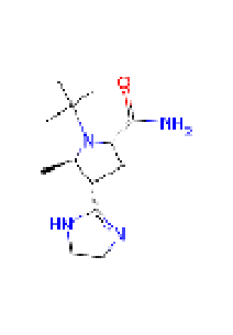 C[C@@H]1[C@@H](C2=NCCN2)C[C@@H](C(N)=O)N1C(C)(C)C